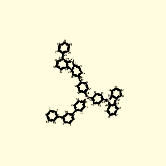 c1ccc(-c2cccc(-c3ccc(N(c4ccc(-c5ccc6oc7c(-c8ccccc8)cccc7c6c5)cc4)c4ccc(-n5c6ccccc6c6ccccc65)cc4)cc3)c2)cc1